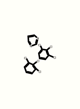 Clc1cccc(Cl)c1Cl.Clc1cccc(Cl)c1Cl.c1cncnc1